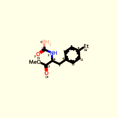 BC(=O)NC(Cc1ccc(CC)cc1)C(=O)OC